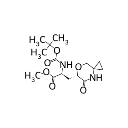 COC(=O)[C@H](C[C@@H]1OCC2(CC2)NC1=O)NC(=O)OC(C)(C)C